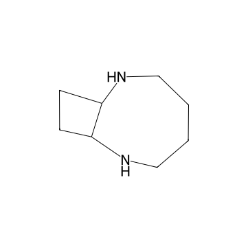 C1CCNC2CCC2NC1